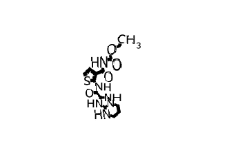 CCOC(=O)NC(=O)c1ccsc1NC(=O)C1NC2NCCCN2N1